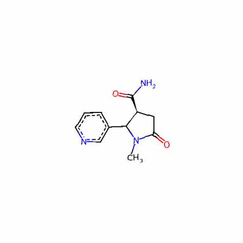 CN1C(=O)C[C@H](C(N)=O)C1c1cccnc1